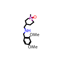 COc1ccc(CNCC2CCP(C)(=O)CC2)c(OC)c1